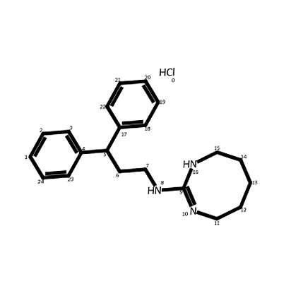 Cl.c1ccc(C(CCN/C2=N/CCCCCN2)c2ccccc2)cc1